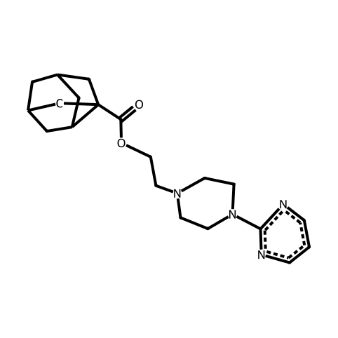 O=C(OCCN1CCN(c2ncccn2)CC1)C12CC3CC(CC1C3)C2